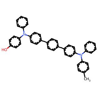 Cc1ccc(N(c2ccccc2)c2ccc(-c3ccc(-c4ccc(N(c5ccccc5)c5ccc(O)cc5)cc4)cc3)cc2)cc1